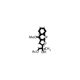 COc1c2c(nc3ccccc13)OC([C@@](C)(O)COC(C)=O)C2